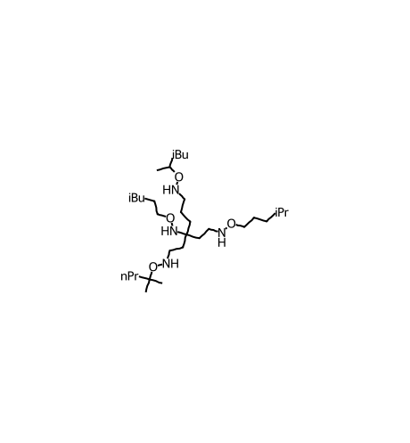 CCCC(C)(C)ONCCC(CCCNOC(C)C(C)CC)(CCNOCCCC(C)C)NOCCC(C)CC